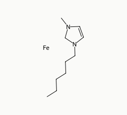 CCCCCCN1C=CN(C)C1.[Fe]